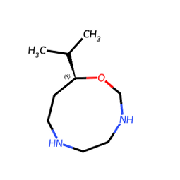 CC(C)[C@@H]1CCNCCNCO1